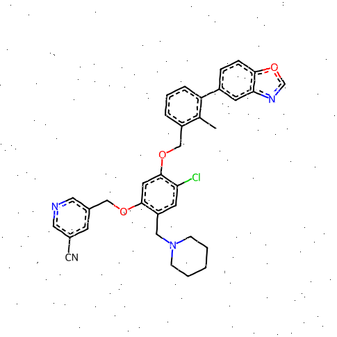 Cc1c(COc2cc(OCc3cncc(C#N)c3)c(CN3CCCCC3)cc2Cl)cccc1-c1ccc2ocnc2c1